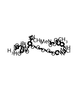 CNC(=O)COc1cc2cc(Nc3nc(N4CCC(OCCOCCOCCOCCOc5cc(-c6scnc6C)ccc5CNC(=O)[C@@H]5C[C@@H](O)CN5C(=O)C(c5cc(C)no5)C(C)C)CC4)ncc3Cl)ccc2n(C)c1=O